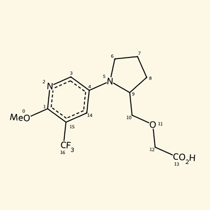 COc1ncc(N2CCCC2COCC(=O)O)cc1C(F)(F)F